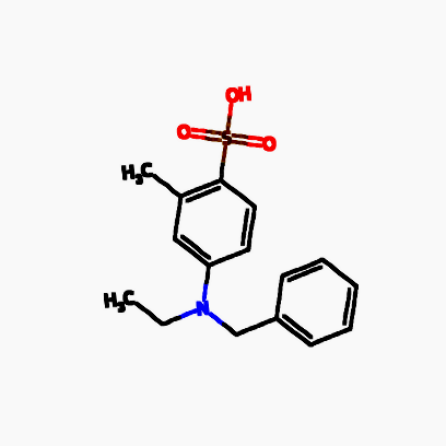 CCN(Cc1ccccc1)c1ccc(S(=O)(=O)O)c(C)c1